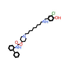 O=C(Nc1ccccc1-c1ccccc1)OC1CCN(CCCCCCCCCNCc2ccc(O)c(Cl)c2)CC1